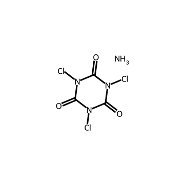 N.O=c1n(Cl)c(=O)n(Cl)c(=O)n1Cl